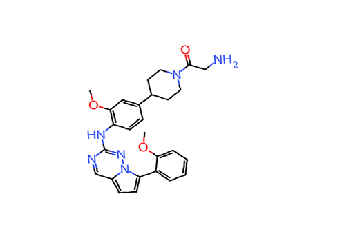 COc1cc(C2CCN(C(=O)CN)CC2)ccc1Nc1ncc2ccc(-c3ccccc3OC)n2n1